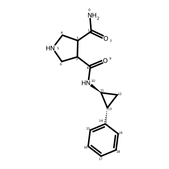 NC(=O)C1CNCC1C(=O)N[C@H]1C[C@@H]1c1ccccc1